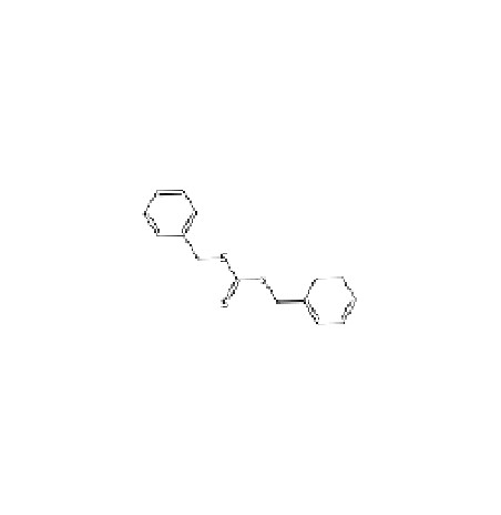 S=C(SCC1=CC=CCC1)SCc1ccccc1